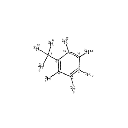 [2H]c1c([2H])c([2H])c(C([2H])([2H])[2H])c([2H])c1[2H]